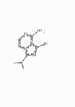 CC(C)c1nc(Br)c2c(N)nccn12